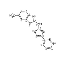 Cc1ccc2nc(Nc3nc(-c4cccnc4)cs3)sc2c1